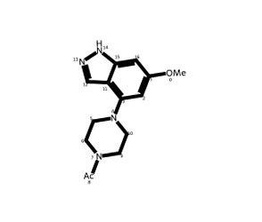 COc1cc(N2CCN(C(C)=O)CC2)c2cn[nH]c2c1